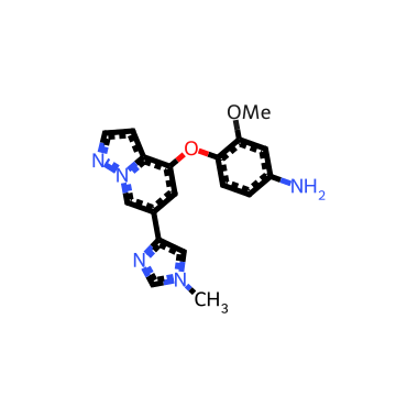 COc1cc(N)ccc1Oc1cc(-c2cn(C)cn2)cn2nccc12